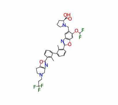 Cc1c(-c2nc3c(o2)CCN(CCC(F)(F)F)C3)cccc1-c1cccc(-c2nc3cc(CN4CCC[C@H]4C(=O)O)c(OC(F)F)cc3o2)c1C